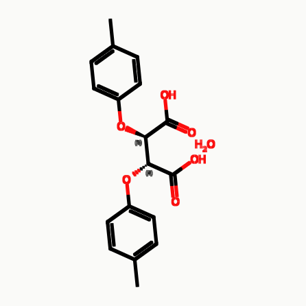 Cc1ccc(O[C@@H](C(=O)O)[C@@H](Oc2ccc(C)cc2)C(=O)O)cc1.O